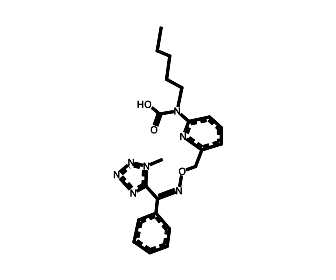 CCCCCN(C(=O)O)c1cccc(CON=C(c2ccccc2)c2nnnn2C)n1